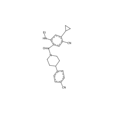 CCNc1cc(C2CC2)c(C#N)cc1C(=O)N1CCC(c2ccc(C#N)cc2)CC1